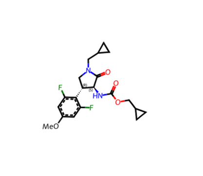 COc1cc(F)c([C@@H]2CN(CC3CC3)C(=O)[C@H]2NC(=O)OCC2CC2)c(F)c1